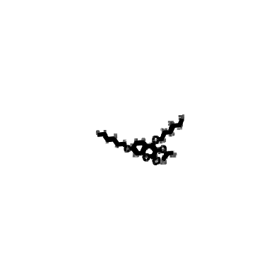 CCC=CCCOc1ccc2c(OCCC=CCC)c(OC(C)C)c(=O)oc2c1